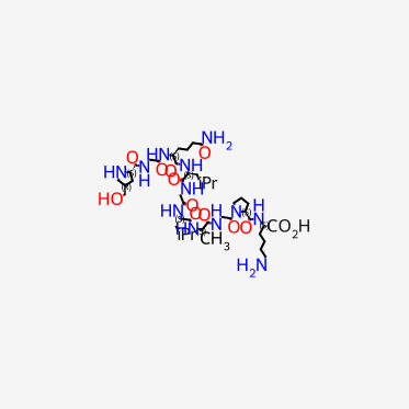 CC(C)C[C@H](NC(=O)CNC(=O)[C@H](CC(C)C)NC(=O)[C@H](CCCC(N)=O)NC(=O)CNC(=O)[C@@H]1C[C@@H](CO)CN1)C(=O)N[C@@H](C)C(=O)NCC(=O)N1CCC[C@H]1C(=O)N[C@@H](CCCCN)C(=O)O